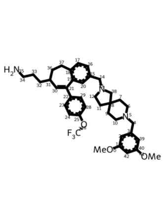 COc1cc(CN2CCC3(CC2)CCN(Cc2ccc4c(c2)C(c2ccc(OC(F)(F)F)cc2)=CC(CCCN)CC4)C3)cc(OC)c1